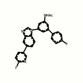 CC(=O)Nc1cc(-c2ccc(F)cc2)cc(-n2cnc3cc(-c4ccc(F)nc4)ccc32)c1